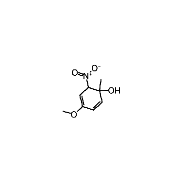 COC1=CC([N+](=O)[O-])C(C)(O)C=C1